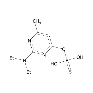 CCN(CC)c1nc(C)cc(OP(O)(O)=S)n1